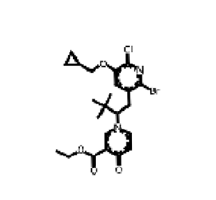 CCOC(=O)c1cn(C(Cc2cc(OCC3CC3)c(Cl)nc2Br)C(C)(C)C)ccc1=O